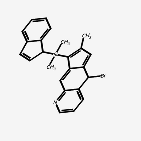 CC1=C([Si](C)(C)C2C=Cc3ccccc32)C2=Cc3ncccc3C(Br)C2=C1